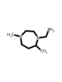 BCN1CCN(C)CCC1C